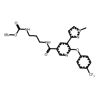 Cn1ccc(-c2cc(C(=O)NCCCNC(=O)OC(C)(C)C)cnc2Oc2ccc(C(F)(F)F)cc2)n1